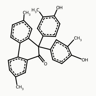 Cc1ccc2c(c1)C(=O)C(c1ccc(O)c(C)c1)(c1ccc(O)c(C)c1)c1cc(C)ccc1-2